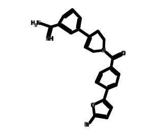 N=C(N)c1cccc(C2=CCN(C(=O)c3ccc(-c4ccc(Br)o4)cc3)CC2)c1